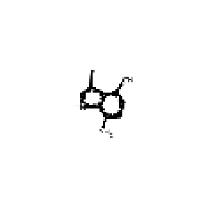 Cc1c[nH]c2c(N)ccc(C#N)c12